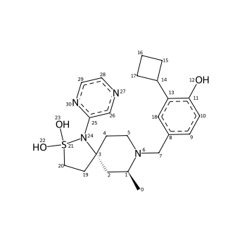 C[C@H]1C[C@]2(CCN1Cc1ccc(O)c(C3CCC3)c1)CCS(O)(O)N2c1cnccn1